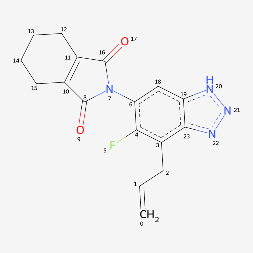 C=CCc1c(F)c(N2C(=O)C3=C(CCCC3)C2=O)cc2[nH]nnc12